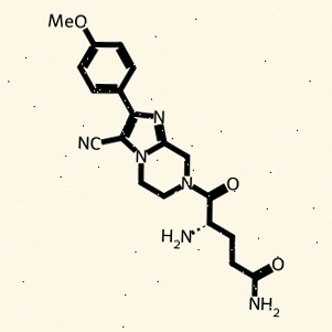 COc1ccc(-c2nc3n(c2C#N)CCN(C(=O)[C@@H](N)CCC(N)=O)C3)cc1